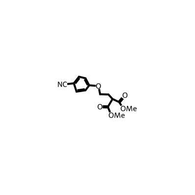 COC(=O)C(CCOc1ccc(C#N)cc1)C(=O)OC